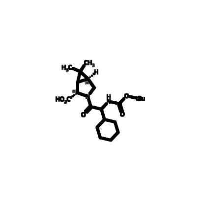 CC(C)(C)OC(=O)NC(C(=O)N1C[C@H]2C([C@H]1C(=O)O)C2(C)C)C1CCCCC1